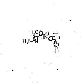 Cc1ccc(C(=O)Nc2ccc(CN3CCNCC3)c(C(F)(F)F)c2)cc1-c1ccc(CN)nc1